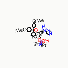 COc1ccc(C(OCC2C[C@H](Nc3ccncn3)C[C@@H]2C(C#N)COP(O)N(C(C)C)C(C)C)(c2ccccc2)c2ccc(OC)cc2)cc1